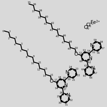 CCCCCCCCCCCCCCCCOc1cc(-c2ccccn2)nc(-c2ccccn2)c1.CCCCCCCCCCCCCCCCOc1cc(-c2ccccn2)nc(-c2ccccn2)c1.[Cl-].[Cl-].[Fe+2]